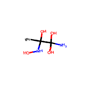 CC(C)C(O)(NO)C(N)(O)O